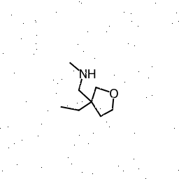 CCC1(CNC)CCOC1